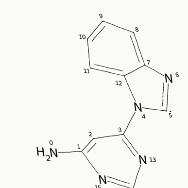 Nc1cc(-n2[c]nc3ccccc32)ncn1